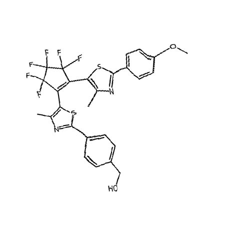 COc1ccc(-c2nc(C)c(C3=C(c4sc(-c5ccc(CO)cc5)nc4C)C(F)(F)C(F)(F)C3(F)F)s2)cc1